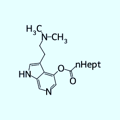 CCCCCCCC(=O)Oc1cncc2[nH]cc(CCN(C)C)c12